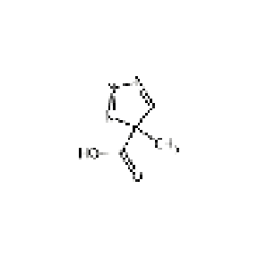 CC1(C(=O)O)C=NN=N1